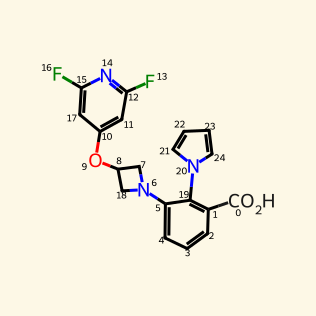 O=C(O)c1cccc(N2CC(Oc3cc(F)nc(F)c3)C2)c1-n1cccc1